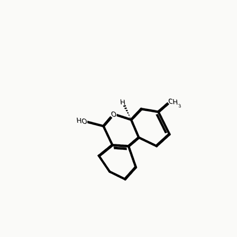 CC1=CCC2C3=C(CCCC3)C(O)O[C@H]2C1